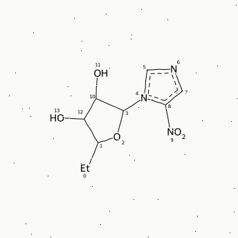 CCC1OC(n2cncc2[N+](=O)[O-])C(O)C1O